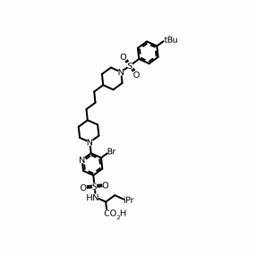 CC(C)CC(NS(=O)(=O)c1cnc(N2CCC(CCCC3CCN(S(=O)(=O)c4ccc(C(C)(C)C)cc4)CC3)CC2)c(Br)c1)C(=O)O